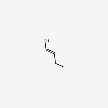 OC=CCI